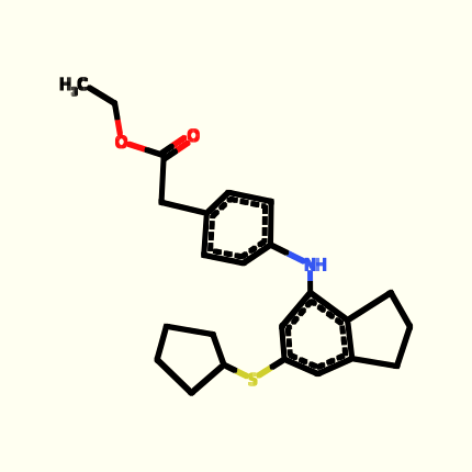 CCOC(=O)Cc1ccc(Nc2cc(SC3CCCC3)cc3c2CCC3)cc1